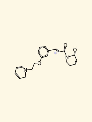 O=C1C=CCCN1C(=O)/C=C/c1cccc(OCCN2C=CC=CC2)c1